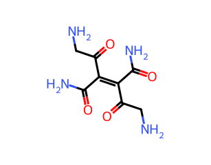 NCC(=O)C(C(N)=O)=C(C(N)=O)C(=O)CN